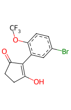 O=C1CCC(O)=C1c1cc(Br)ccc1OC(F)(F)F